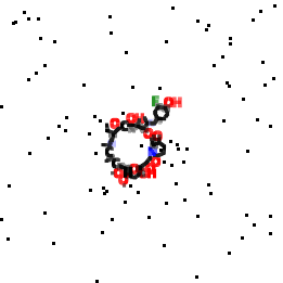 CC[C@@H]1/C=C(\C)C[C@H](C)C[C@H](OC)[C@H]2O[C@@](O)(C(=O)C(=O)N3CCCC[C@H]3C(=O)O[C@H](/C(C)=C/[C@@H]3CC[C@@H](O)[C@@H](F)C3)[C@H](C)[C@@H](O)CC1=O)[C@H](C)C[C@@H]2OC